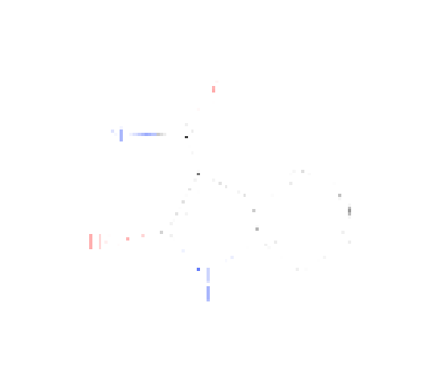 NC(=O)c1c(O)[nH]c2ccccc12